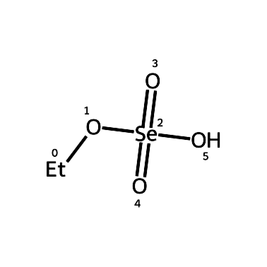 CCO[Se](=O)(=O)O